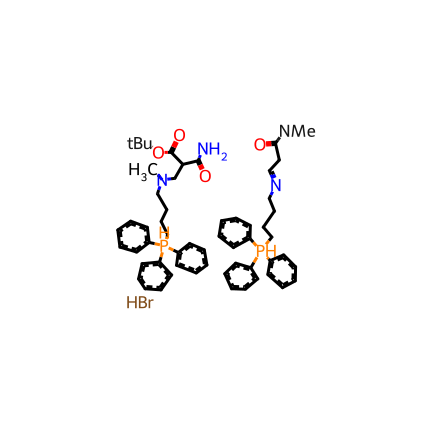 Br.CN(CCCC[PH](c1ccccc1)(c1ccccc1)c1ccccc1)CC(C(N)=O)C(=O)OC(C)(C)C.CNC(=O)CC=NCCCC[PH](c1ccccc1)(c1ccccc1)c1ccccc1